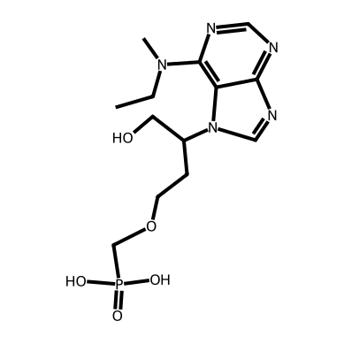 CCN(C)c1ncnc2ncn(C(CO)CCOCP(=O)(O)O)c12